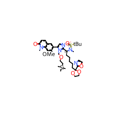 COc1cc2c(ccc(=O)n2C)cc1-c1cnc([C@H](CCCCCC2(c3ncco3)OCCO2)N(C)[S@@+]([O-])C(C)(C)C)n1COCC[Si](C)(C)C